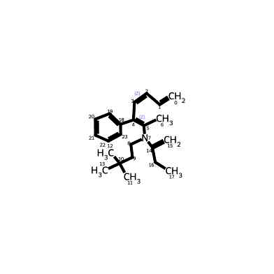 C=C/C=C\C(=C(/C)N(CCC(C)(C)C)C(=C)CC)c1ccccc1